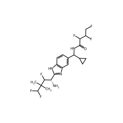 CC(C)(C(F)F)C(F)[C@@H](N)c1nc2cc(C(NC(=O)C(F)C(F)CF)C3CC3)ccc2[nH]1